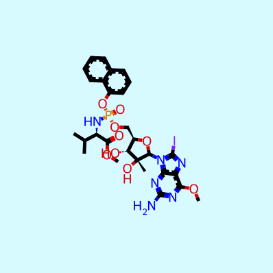 COC(=O)[C@@H](NP(=O)(OC[C@H]1OC(n2c(I)nc3c(OC)nc(N)nc32)[C@](C)(O)[C@@H]1O)Oc1cccc2ccccc12)C(C)C